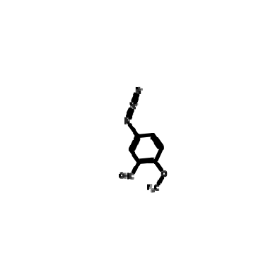 [N-]=[N+]=Nc1ccc(OC(F)(F)F)c(C=O)c1